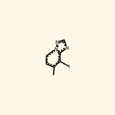 Cc1ccn2ncnc2c1I